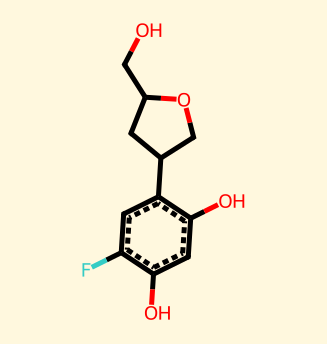 OCC1CC(c2cc(F)c(O)cc2O)CO1